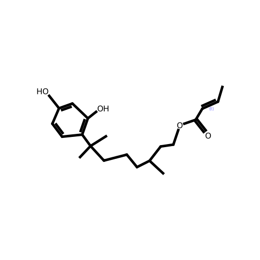 C/C=C/C(=O)OCCC(C)CCCC(C)(C)c1ccc(O)cc1O